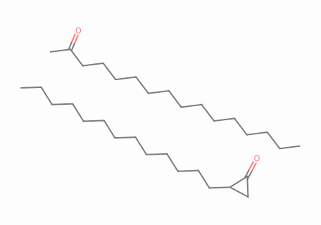 CCCCCCCCCCCCCC1CC1=O.CCCCCCCCCCCCCCC(C)=O